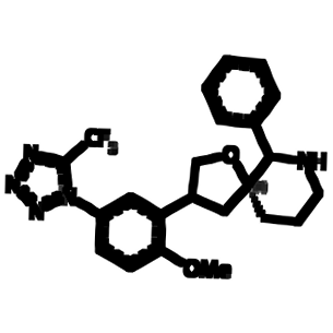 COc1ccc(-n2nnnc2C(F)(F)F)cc1C1CO[C@]2(CCCNC2c2ccccc2)C1